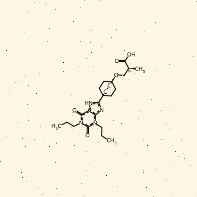 CCCn1c(=O)c2[nH]c(C34CCC(OC[C@H](C)C(=O)O)(CC3)CC4)nc2n(CCC)c1=O